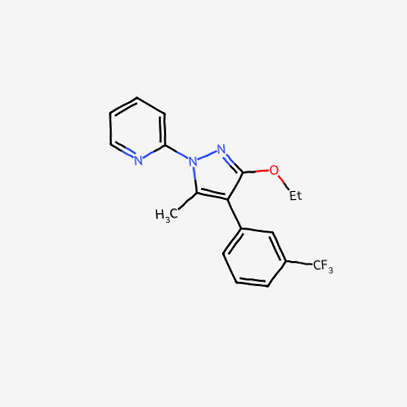 CCOc1nn(-c2ccccn2)c(C)c1-c1cccc(C(F)(F)F)c1